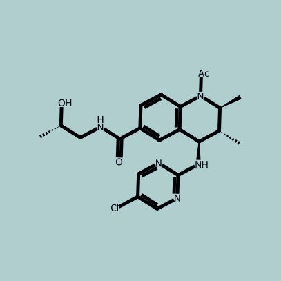 CC(=O)N1c2ccc(C(=O)NC[C@H](C)O)cc2[C@H](Nc2ncc(Cl)cn2)[C@@H](C)[C@@H]1C